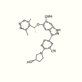 COc1cc2[nH]nc(-c3cnc(N4CC[C@@H](O)C4)c(C#N)c3)c2cc1O[C@H](C)c1c(C)cnnc1C